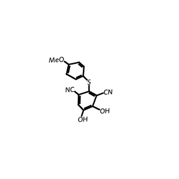 COc1ccc(Sc2c(C#N)cc(O)c(O)c2C#N)cc1